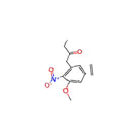 C=C.CCC(=O)Cc1cccc(OC)c1[N+](=O)[O-]